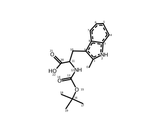 Cc1[nH]c2ccccc2c1CC(NC(=O)OC(C)(C)C)C(=O)O